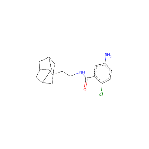 Nc1ccc(Cl)c(C(=O)NCCC23CC4CC(CC(C4)C2)C3)c1